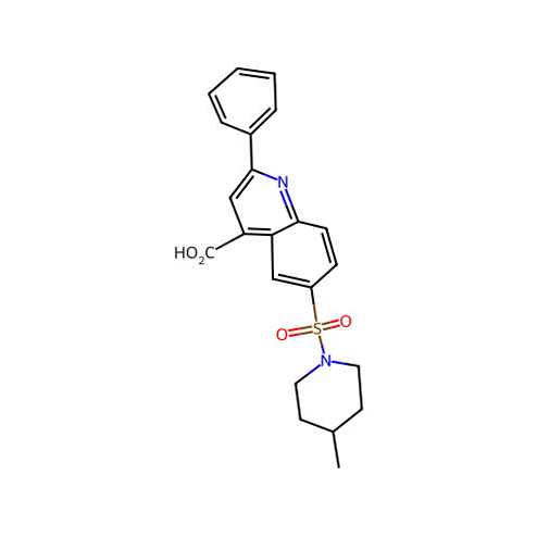 CC1CCN(S(=O)(=O)c2ccc3nc(-c4ccccc4)cc(C(=O)O)c3c2)CC1